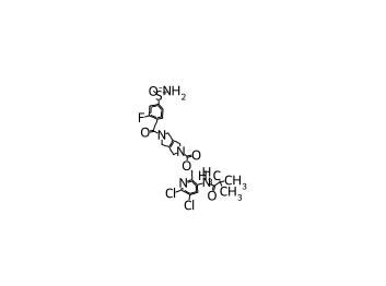 CC(C)(C)C(=O)Nc1cc(Cl)c(Cl)nc1COC(=O)N1CC2=C(C1)CN(C(=O)c1ccc([S+](N)[O-])cc1F)C2